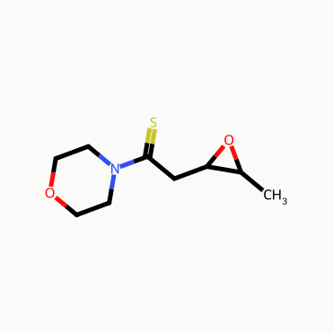 CC1OC1CC(=S)N1CCOCC1